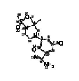 CC1(C)CN(c2cc(Cl)cc3c(N)noc23)CCN1S(C)(=O)=O